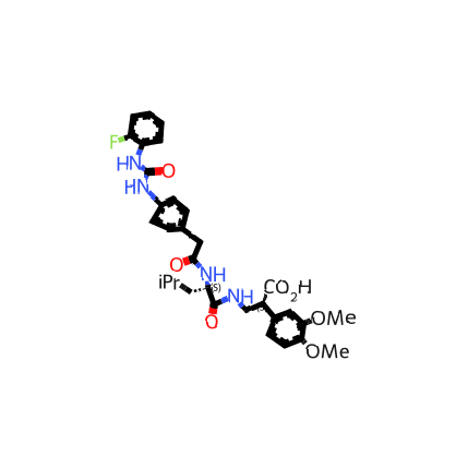 COc1ccc([C@@H](CNC(=O)[C@H](CC(C)C)NC(=O)Cc2ccc(NC(=O)Nc3ccccc3F)cc2)C(=O)O)cc1OC